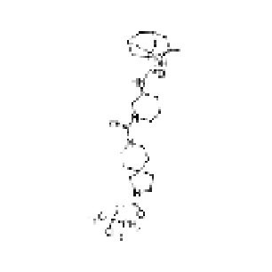 CC(C)(C)OC(=O)N1CCC2(CCN(C(=O)N3CCC[C@H](NC(=O)[C@@]45CC6CC(C4)C(O)[C@H](C6)C5)C3)CC2)C1